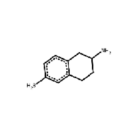 Bc1ccc2c(c1)CCC(N)C2